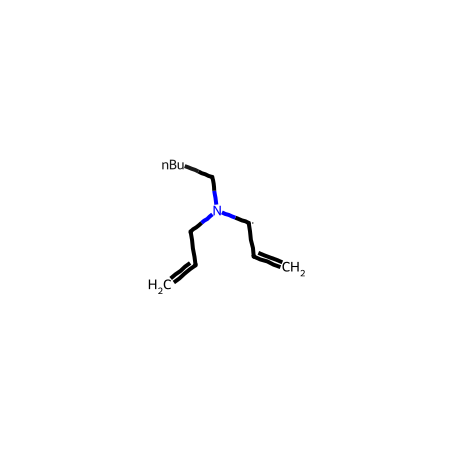 C=C[CH]N(CC=C)CCCCC